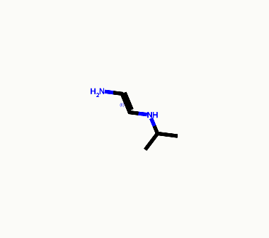 CC(C)N/C=C/N